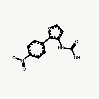 O=C(O)Nc1ccsc1-c1ccc([N+](=O)[O-])cc1